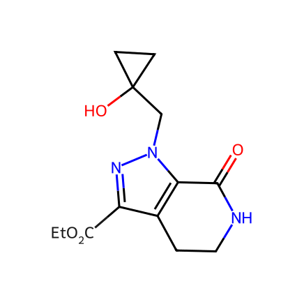 CCOC(=O)c1nn(CC2(O)CC2)c2c1CCNC2=O